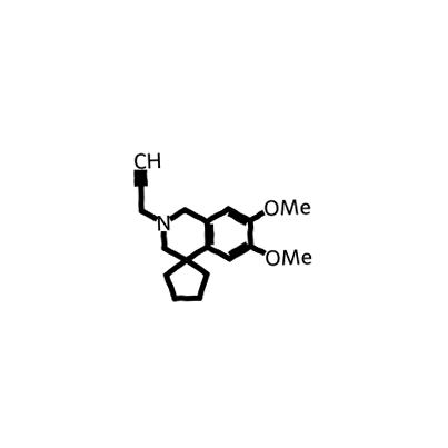 C#CCN1Cc2cc(OC)c(OC)cc2C2(CCCC2)C1